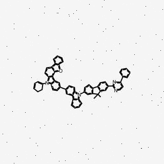 CC1(C)c2cc(-c3nccc(-c4ccccc4)n3)ccc2-c2ccc(-n3c4ccccc4c4cc(-c5ccc6c(c5)c5c7oc8ccccc8c7ccc5n6C5=CC=CCC5)ccc43)cc21